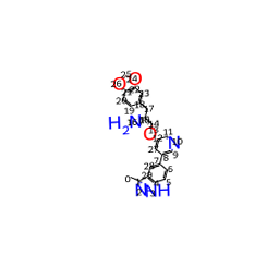 Cc1n[nH]c2ccc(-c3cncc(OC[C@H](N)Cc4ccc5c(c4)OCO5)c3)cc12